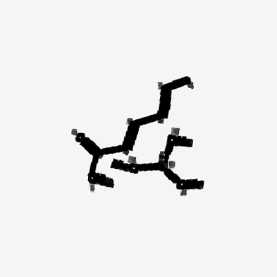 CC=CC=CC(=O)OC.CO[SiH](OC)OC